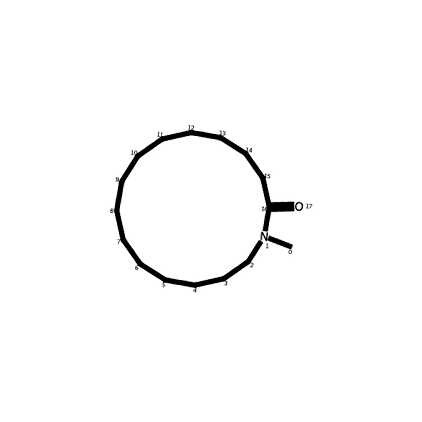 CN1CCCCCCCCCCCCCCC1=O